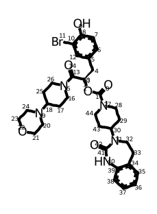 O=C(O[C@H](Cc1ccc(O)c(Br)c1)C(=O)N1CCC(N2CCOCC2)CC1)N1CCC(N2CCc3ccccc3NC2=O)CC1